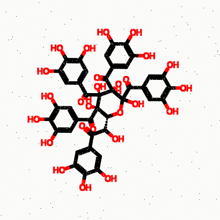 O=C(c1cc(O)c(O)c(O)c1)C(O)[C@H]1OC(O)(C(=O)c2cc(O)c(O)c(O)c2)[C@@](O)(C(=O)c2cc(O)c(O)c(O)c2)[C@](O)(C(=O)c2cc(O)c(O)c(O)c2)[C@@]1(O)C(=O)c1cc(O)c(O)c(O)c1